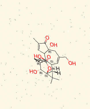 CCCC(=O)O[C@@]12[C@H](O)[C@@H](C)[C@]3(O)C4C=C(C)C(=O)[C@@]4(O)CC(CO)=C[C@H]3[C@@H]1C2(C)C